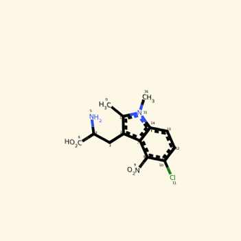 Cc1c(CC(N)C(=O)O)c2c([N+](=O)[O-])c(Cl)ccc2n1C